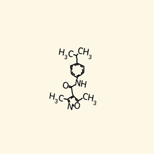 Cc1noc(C)c1C(=O)Nc1ccc(C(C)C)cc1